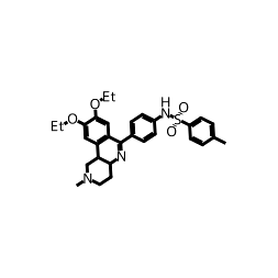 CCOc1cc2c(cc1OCC)C1CN(C)CCC1N=C2c1ccc(NS(=O)(=O)c2ccc(C)cc2)cc1